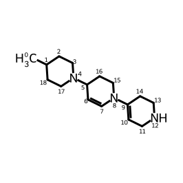 CC1CCN(C2C=CN(C3=CCNCC3)CC2)CC1